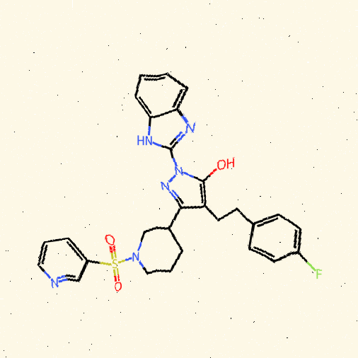 O=S(=O)(c1cccnc1)N1CCCC(c2nn(-c3nc4ccccc4[nH]3)c(O)c2CCc2ccc(F)cc2)C1